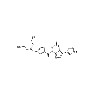 Cc1cn2c(-c3cn[nH]c3)cnc2c(Nc2cc(CN(CCO)CCO)cs2)n1